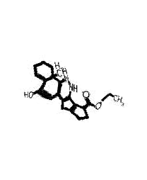 CCOC(=O)C1CCC2=C1C1=C(C2)C2=C(NN1)C1(C)CCCC=C1C(O)=C2